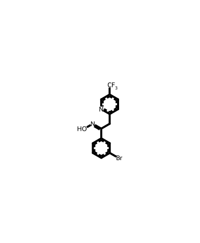 ON=C(Cc1ccc(C(F)(F)F)cn1)c1cccc(Br)c1